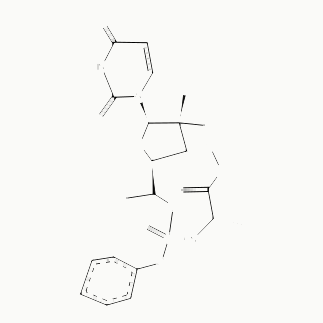 [2H]C(O[P@@](=O)(N[C@@H](C)C(=O)OC(C)C)Oc1ccccc1)[C@H]1O[C@@H](N2C=CC(=O)NC2=C)[C@](C)(F)[C@@H]1O